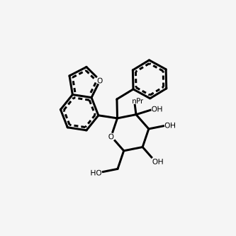 CCCC1(O)C(O)C(O)C(CO)OC1(Cc1ccccc1)c1cccc2ccoc12